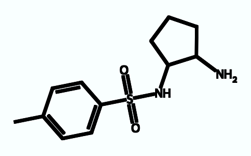 Cc1ccc(S(=O)(=O)NC2CCCC2N)cc1